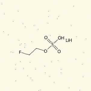 O=S(=O)(O)OCCF.[LiH]